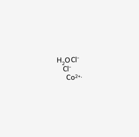 O.[Cl-].[Cl-].[Co+2]